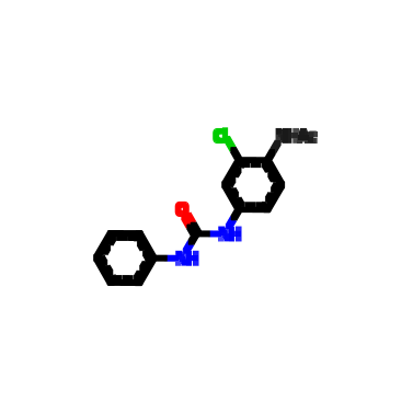 CC(=O)Nc1ccc(NC(=O)Nc2ccccc2)cc1Cl